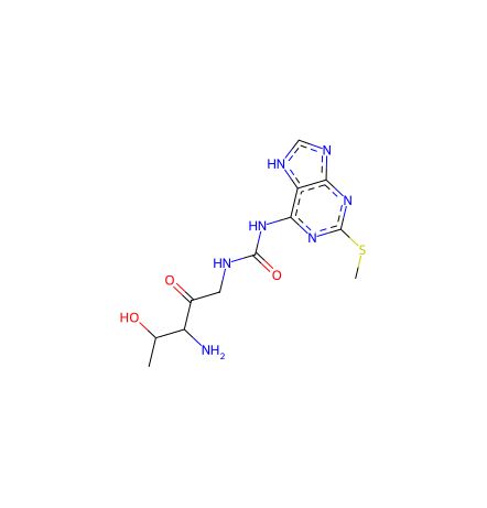 CSc1nc(NC(=O)NCC(=O)C(N)C(C)O)c2[nH]cnc2n1